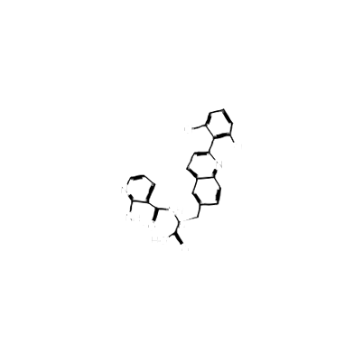 Nc1ncccc1C(=O)N[C@@H](Cc1ccc2nc(-c3c(Cl)cccc3Cl)ccc2c1)C(=O)O